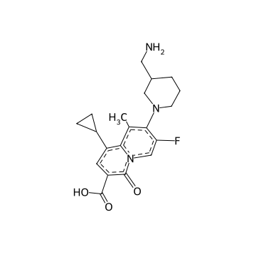 Cc1c(N2CCCC(CN)C2)c(F)cn2c(=O)c(C(=O)O)cc(C3CC3)c12